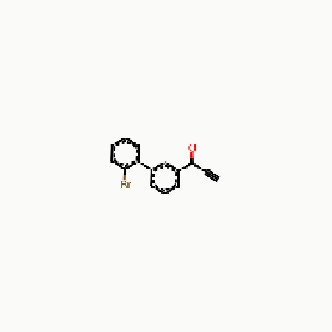 C#CC(=O)c1cccc(-c2ccccc2Br)c1